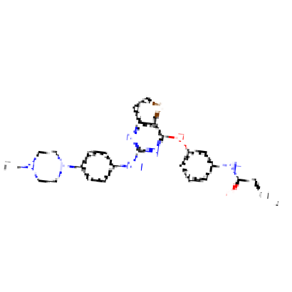 C=CC(=O)Nc1cccc(Oc2nc(Nc3ccc(N4CCN(C(C)C)CC4)cc3)nc3ccsc23)c1